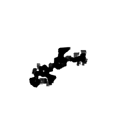 O=C(O)C1CCCN1C(=O)c1cc(C2CC2)c(COc2cnc(OCC(F)(F)C(F)F)c(C3CC3)c2)cc1F